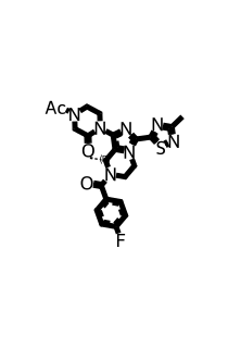 CC(=O)N1CCN(c2nc(-c3nc(C)ns3)n3c2[C@@H](C)N(C(=O)c2ccc(F)cc2)CC3)C(=O)C1